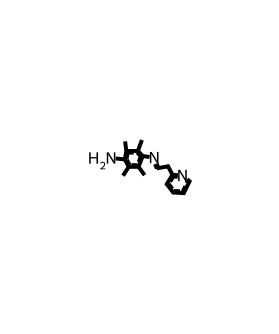 Cc1c(C)c(N=CCc2ccccn2)c(C)c(C)c1N